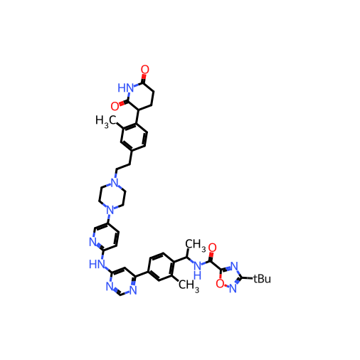 Cc1cc(-c2cc(Nc3ccc(N4CCN(CCc5ccc(C6CCC(=O)NC6=O)c(C)c5)CC4)cn3)ncn2)ccc1C(C)NC(=O)c1nc(C(C)(C)C)no1